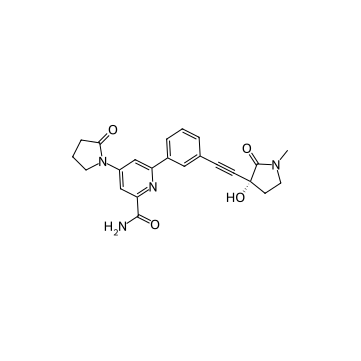 CN1CC[C@@](O)(C#Cc2cccc(-c3cc(N4CCCC4=O)cc(C(N)=O)n3)c2)C1=O